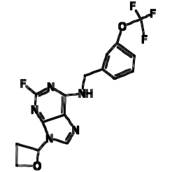 Fc1nc(NCc2cccc(OC(F)(F)F)c2)c2ncn(C3CCO3)c2n1